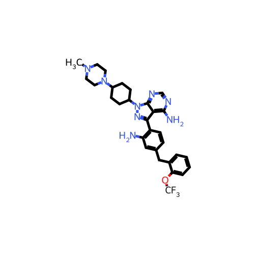 CN1CCN(C2CCC(n3nc(-c4ccc(Cc5ccccc5OC(F)(F)F)cc4N)c4c(N)ncnc43)CC2)CC1